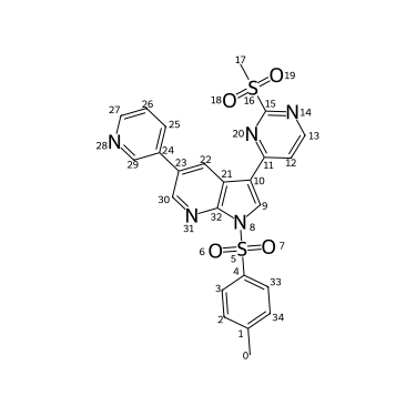 Cc1ccc(S(=O)(=O)n2cc(-c3ccnc(S(C)(=O)=O)n3)c3cc(-c4cccnc4)cnc32)cc1